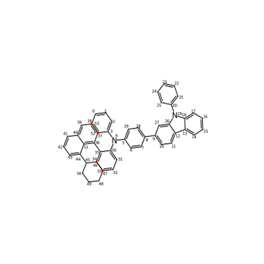 c1ccc(N(c2ccc(-c3ccc4c5ccccc5n(-c5ccccc5)c4c3)cc2)c2ccccc2-c2cccc3cccc(C4CCCCC4)c23)cc1